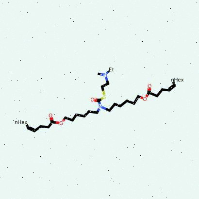 CCCCCC/C=C\CCC(=O)OCCCCCCN(CCCCCCOC(=O)CC/C=C\CCCCCC)C(=O)SCCN(C)CC